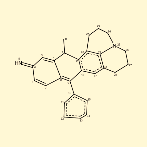 CC1C2=CC(=N)C=CC2=C(c2ccccc2)c2cc3c4c(c21)CCCN4CCC3